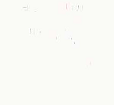 CCC(O)C(OC)(OC)N1CCOC(c2ccccc2)C1